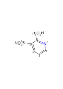 O=C(O)c1ncccc1S(=O)(=O)O